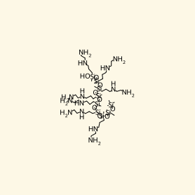 C[Si](C)(C)O[Si](C)(C)O[Si](C)(CCCNCCN)O[Si](C)(CCCNCCN)O[Si](C)(CCCNCCN)O[Si](C)(CCCNCCN)O[Si](C)(CCCNCCN)O[Si](C)(CCCNCCN)O[Si](C)(O)CCCNCCN